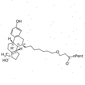 CCCCC[S+]([O-])CCOCCCCCCC[C@@H]1Cc2cc(O)ccc2[C@H]2CC[C@]3(C)[C@@H](O)CC[C@H]3[C@H]12